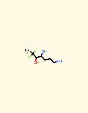 [NH]CCCC([NH])C(O)C(F)(F)C(F)(F)F